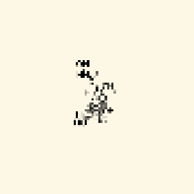 CC[C@H]1[C@@H](O)[C@@H]2[C@H](CC[C@]3(C)C([C@H](C)CCOC(=O)NCCO)CC[C@@H]23)[C@@]2(C)CC[C@@H](O)C[C@@H]12